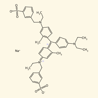 CCN(CC)c1ccc(/C(=C2C=C/C(=[N+](\CC)Cc3cccc(S(=O)(=O)[O-])c3)C=C/2C)c2ccc(N(CC)Cc3cccc(S(=O)(=O)[O-])c3)cc2C)cc1.[Na+]